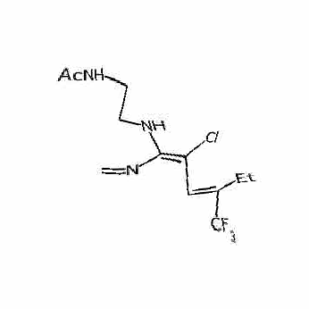 C=N/C(NCCNC(C)=O)=C(Cl)\C=C(/CC)C(F)(F)F